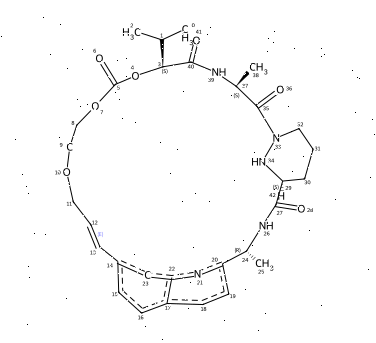 CC(C)[C@@H]1OC(=O)OCCOC/C=C/c2ccc3ccc(nc3c2)[C@@H](C)NC(=O)[C@@H]2CCCN(N2)C(=O)[C@H](C)NC1=O